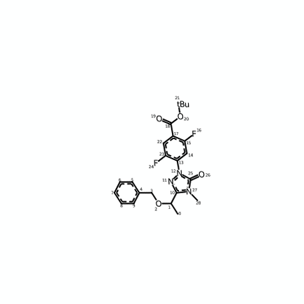 CC(OCc1ccccc1)c1nn(-c2cc(F)c(C(=O)OC(C)(C)C)cc2F)c(=O)n1C